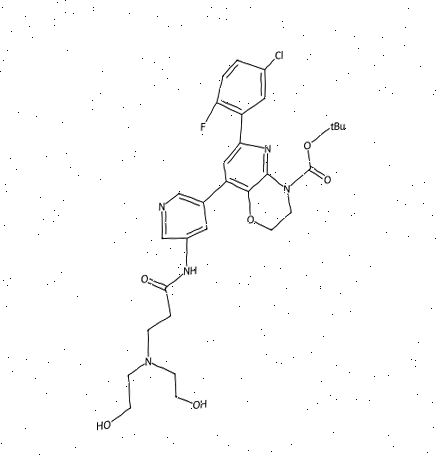 CC(C)(C)OC(=O)N1CCOc2c(-c3cncc(NC(=O)CCN(CCO)CCO)c3)cc(-c3cc(Cl)ccc3F)nc21